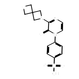 CS(=O)(=O)c1ccc(-n2ccnc(N3CC4(COC4)C3)c2=O)cc1